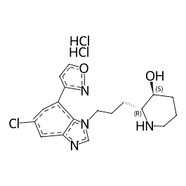 Cl.Cl.O[C@H]1CCCN[C@@H]1CCCn1cnc2cc(Cl)cc(-c3ccon3)c21